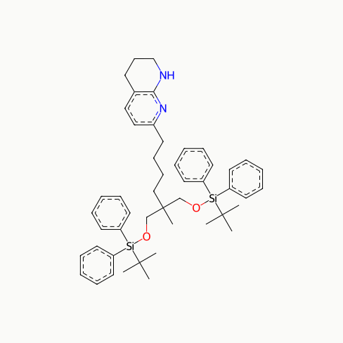 CC(CCCCc1ccc2c(n1)NCCC2)(CO[Si](c1ccccc1)(c1ccccc1)C(C)(C)C)CO[Si](c1ccccc1)(c1ccccc1)C(C)(C)C